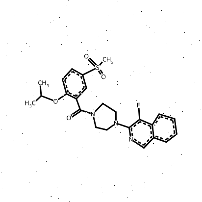 CC(C)Oc1ccc(S(C)(=O)=O)cc1C(=O)N1CCN(c2ncc3ccccc3c2F)CC1